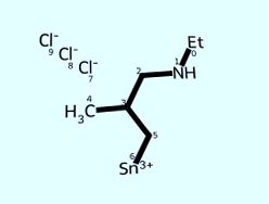 CCNCC(C)[CH2][Sn+3].[Cl-].[Cl-].[Cl-]